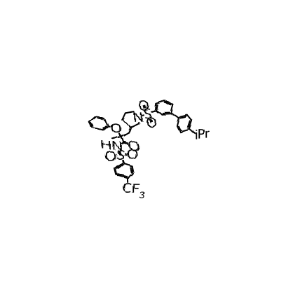 CC(C)c1ccc(-c2cccc(S(=O)(=O)N3CCCC(CC(C)(Oc4ccccc4)C(=O)NS(=O)(=O)c4ccc(C(F)(F)F)cc4)C3)c2)cc1